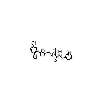 S=C(NCc1cccnc1)NN=Cc1ccc(-c2cc(Cl)ccc2Cl)o1